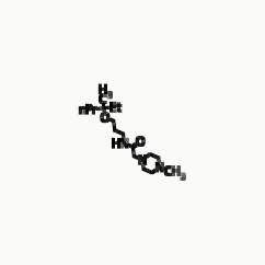 CCCC(C)(CC)OCCCNC(=O)CN1CCN(C)CC1